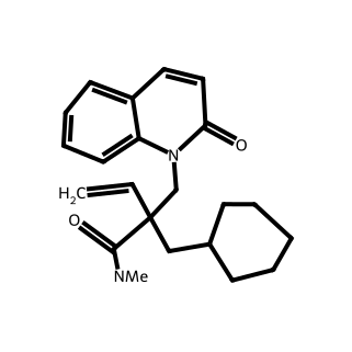 C=CC(CC1CCCCC1)(Cn1c(=O)ccc2ccccc21)C(=O)NC